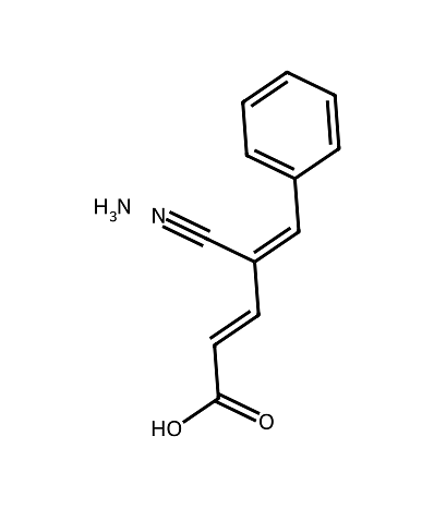 N.N#CC(C=CC(=O)O)=Cc1ccccc1